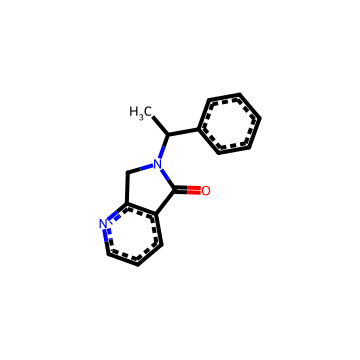 CC(c1ccccc1)N1Cc2ncccc2C1=O